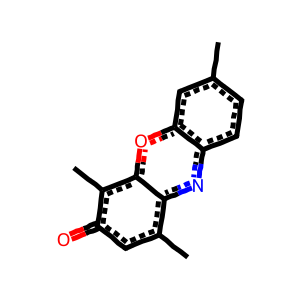 Cc1ccc2nc3c(C)cc(=O)c(C)c-3oc2c1